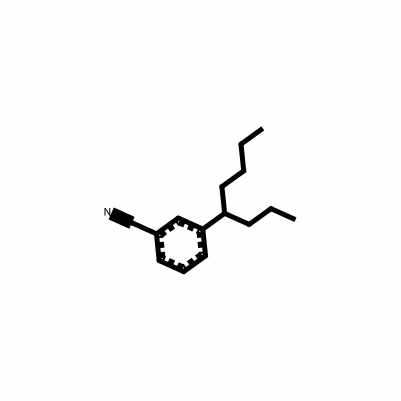 CCCCC(CCC)c1cccc(C#N)c1